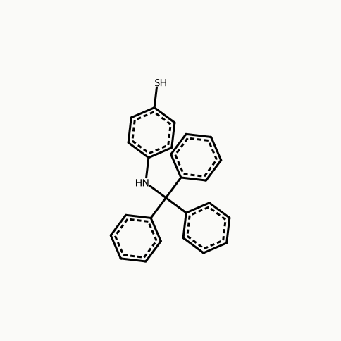 Sc1ccc(NC(c2ccccc2)(c2ccccc2)c2ccccc2)cc1